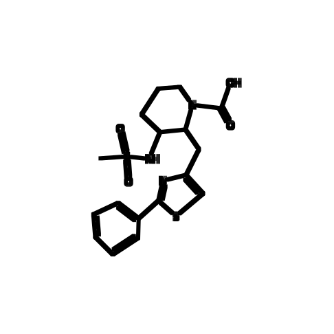 CS(=O)(=O)NC1CCCN(C(=O)O)C1Cc1csc(-c2ccccc2)n1